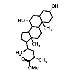 COC(=O)[C@@H](C)C[C@@H](C)C1CCC2C3C(CC[C@@]21C)[C@@]1(C)CC[C@@H](O)CC1C[C@H]3O